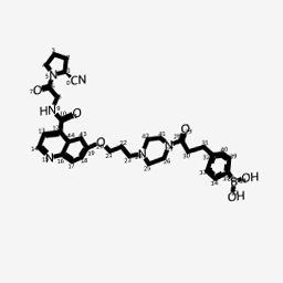 N#C[C@@H]1CCCN1C(=O)CNC(=O)C1=CC=NC2=CC=C(OCCCN3CCN(C(=O)CCc4ccc(B(O)O)cc4)CC3)CC21